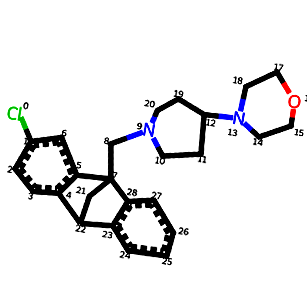 Clc1ccc2c(c1)C1(CN3CCC(N4CCOCC4)CC3)CC2c2ccccc21